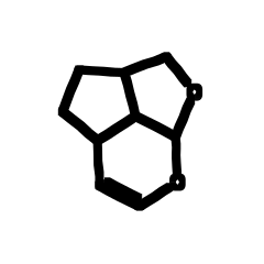 C1=CC2CCC3COC(O1)C23